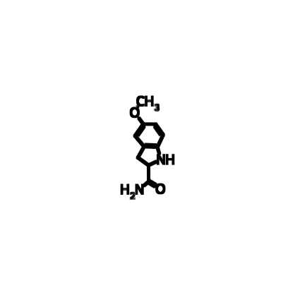 COc1ccc2c(c1)CC(C(N)=O)N2